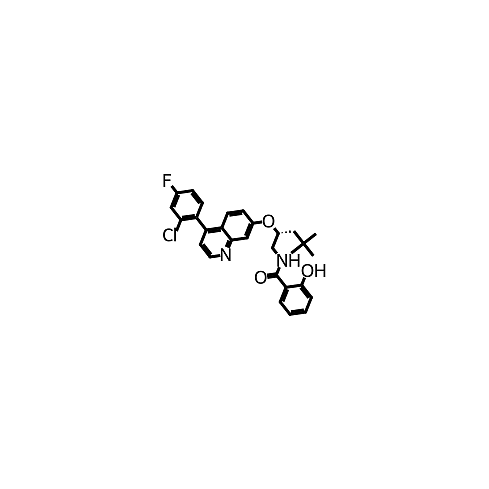 CC(C)(C)C[C@H](CNC(=O)c1ccccc1O)Oc1ccc2c(-c3ccc(F)cc3Cl)ccnc2c1